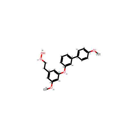 CCOc1ccc(-c2cccc(Oc3cc(CCOO)cc(OCC)c3)c2)cc1